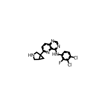 Fc1c(Nc2ncnc3ccc(C45CNCC4C5)nc23)ccc(Cl)c1Cl